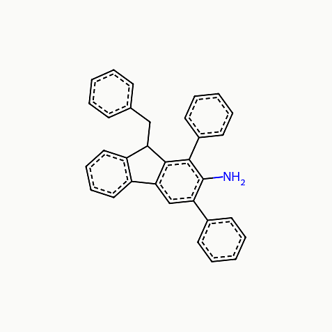 Nc1c(-c2ccccc2)cc2c(c1-c1ccccc1)C(Cc1ccccc1)c1ccccc1-2